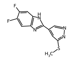 CSc1cc(-c2nc3cc(F)c(F)cc3[nH]2)cnn1